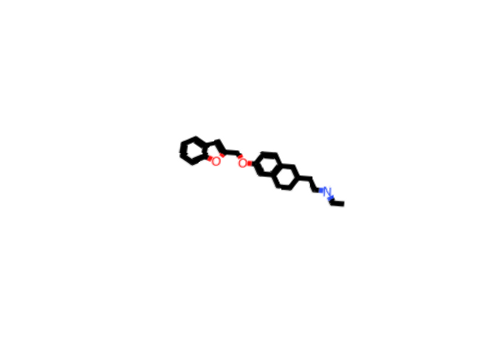 C/C=N/CCC1CCc2cc(OCc3cc4ccccc4o3)ccc2C1